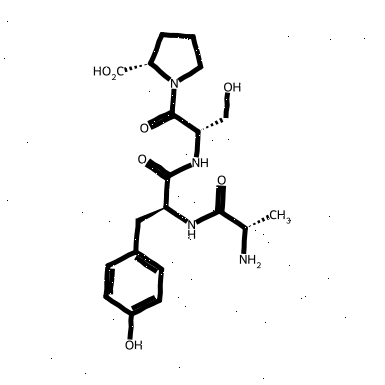 C[C@H](N)C(=O)N[C@@H](Cc1ccc(O)cc1)C(=O)N[C@@H](CO)C(=O)N1CCC[C@H]1C(=O)O